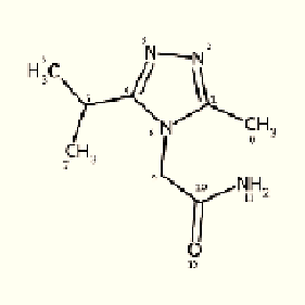 Cc1nnc(C(C)C)n1CC(N)=O